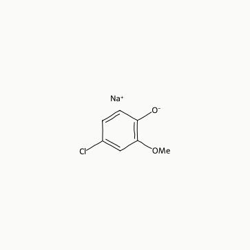 COc1cc(Cl)ccc1[O-].[Na+]